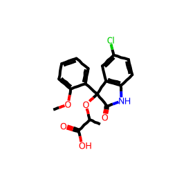 COc1ccccc1C1(OC(C)C(=O)O)C(=O)Nc2ccc(Cl)cc21